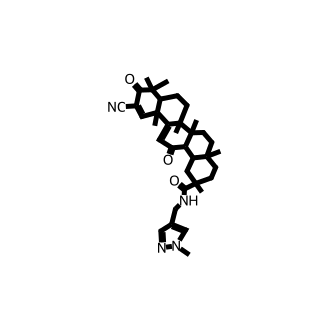 Cn1cc(CNC(=O)C2(C)CCC3(C)CCC4(C)C(C(=O)C=C5C6(C)C=C(C#N)C(=O)C(C)(C)C6CCC54C)C3C2)cn1